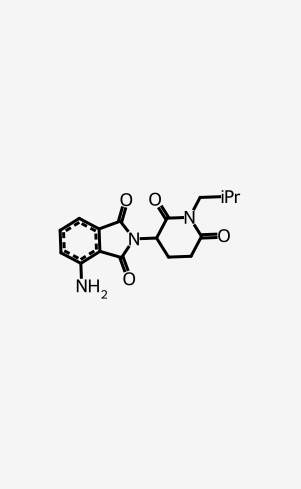 CC(C)CN1C(=O)CCC(N2C(=O)c3cccc(N)c3C2=O)C1=O